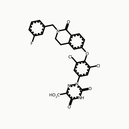 O=C(O)c1nn(-c2cc(Cl)c(Oc3ccc4c(c3)CCN(Cc3cccc(F)c3)C4=O)c(Cl)c2)c(=O)[nH]c1=O